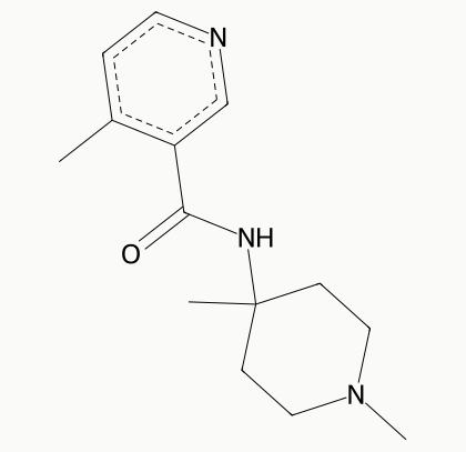 Cc1ccncc1C(=O)NC1(C)CCN(C)CC1